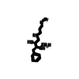 CC(C)OCCCNC[C@@H](O)[C@H](Cc1ccccc1)NC(=O)O